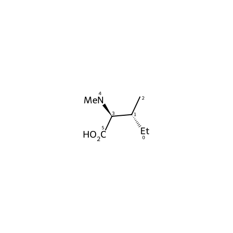 CC[C@@H](C)[C@H](NC)C(=O)O